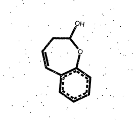 OC1CC=Cc2ccccc2O1